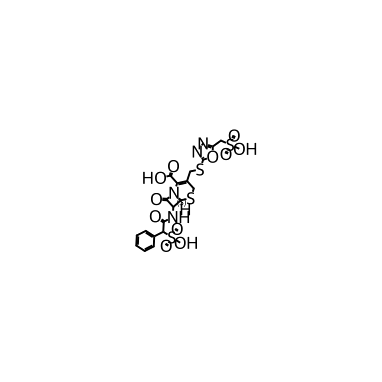 O=C(O)C1=C(CSc2nnc(CS(=O)(=O)O)o2)CS[C@H]2C(NC(=O)C(c3ccccc3)S(=O)(=O)O)C(=O)N12